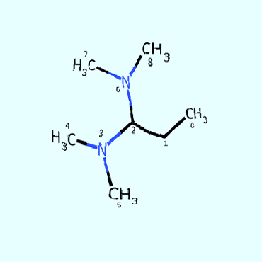 CCC(N(C)C)N(C)C